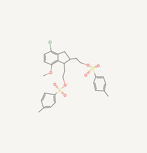 COc1ccc(Cl)c2c1C(CCOS(=O)(=O)c1ccc(C)cc1)C(CCOS(=O)(=O)c1ccc(C)cc1)C2